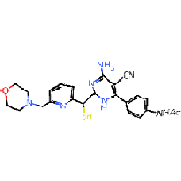 CC(=O)Nc1ccc(C2=C(C#N)C(N)=NC(C(S)c3cccc(CN4CCOCC4)n3)N2)cc1